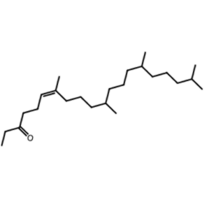 CCC(=O)CCC=C(C)CCCC(C)CCCC(C)CCCC(C)C